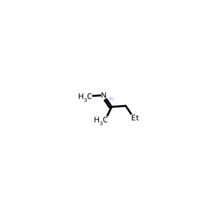 CCC/C(C)=N/C